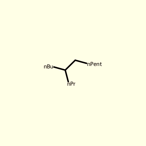 [CH2]CCCC(CCC)CCCCCC